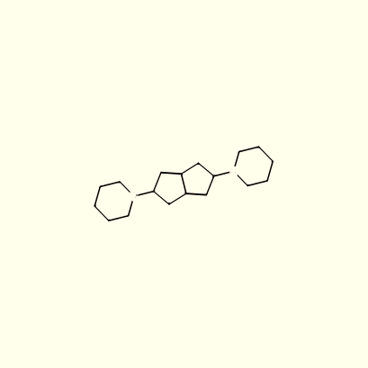 C1CCN(C2CC3CC(N4CCCCC4)CC3C2)CC1